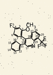 COc1cc(F)ccc1-c1c(-c2ccccc2)cnc2c(C(F)(F)F)cccc12